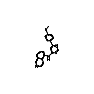 CSc1ccc(-c2cc(Nc3cccc4cnccc34)ncn2)cc1